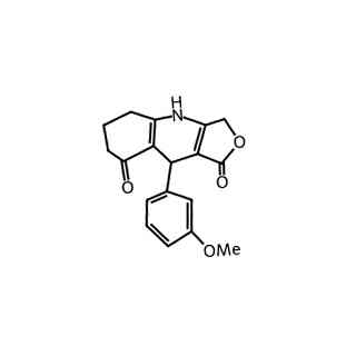 COc1cccc(C2C3=C(CCCC3=O)NC3=C2C(=O)OC3)c1